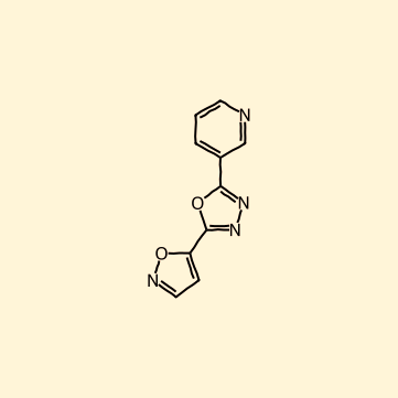 c1cncc(-c2nnc(-c3ccno3)o2)c1